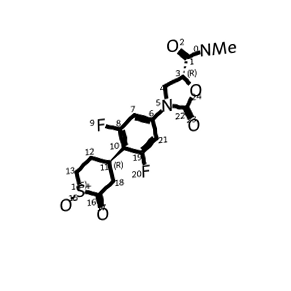 CNC(=O)[C@H]1CN(c2cc(F)c([C@@H]3CC[S@@+]([O-])C(=O)C3)c(F)c2)C(=O)O1